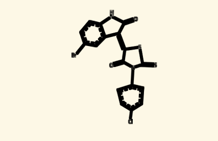 O=C1Nc2ccc(Br)cc2/C1=C1/SC(=S)N(c2ccc(Cl)cc2)C1=O